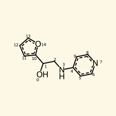 OC(CNc1ccncc1)c1ccco1